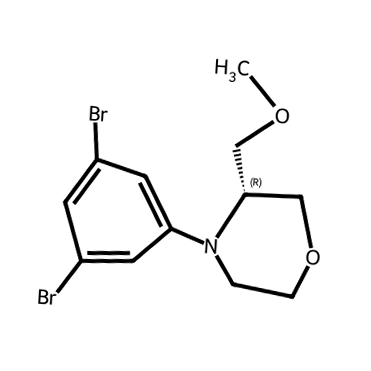 COC[C@@H]1COCCN1c1cc(Br)cc(Br)c1